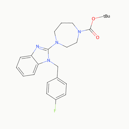 CC(C)(C)OC(=O)N1CCCN(c2nc3ccccc3n2Cc2ccc(F)cc2)CC1